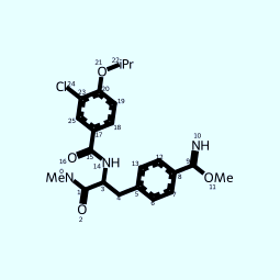 CNC(=O)C(Cc1ccc(C(=N)OC)cc1)NC(=O)c1ccc(OC(C)C)c(Cl)c1